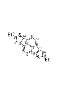 CCC1=CC2c3ccc4c5c(ccc(c35)C2S1)-c1cc(CC)sc1-4